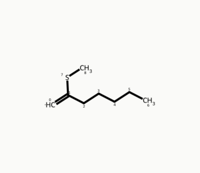 [CH]=C(CCCCC)SC